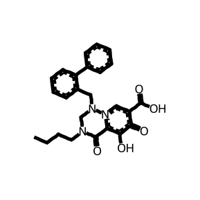 CCCCN1CN(Cc2ccccc2-c2ccccc2)n2cc(C(=O)O)c(=O)c(O)c2C1=O